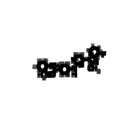 Cc1nc2c(F)cccn2c1-c1ccnc(Nc2ccc(C(=O)Nc3ccccc3N)cc2)n1